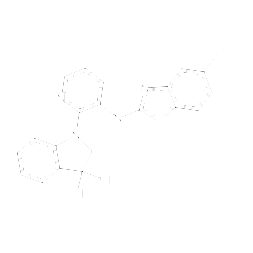 CC(C)(C)c1ccc2sc(Nc3cccnc3N3CC(C)(C)c4ccccc43)nc2c1